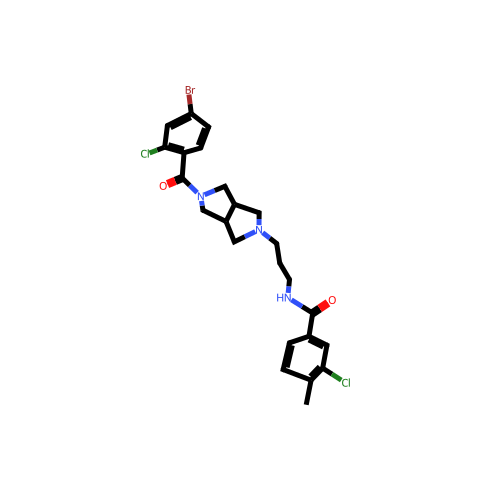 Cc1ccc(C(=O)NCCCN2CC3CN(C(=O)c4ccc(Br)cc4Cl)CC3C2)cc1Cl